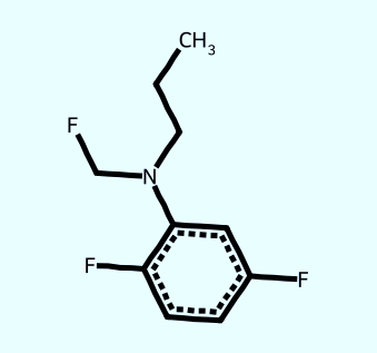 CCCN(CF)c1cc(F)ccc1F